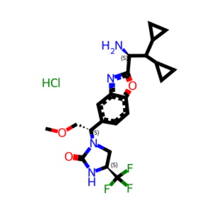 COC[C@H](c1ccc2oc([C@@H](N)C(C3CC3)C3CC3)nc2c1)N1C[C@@H](C(F)(F)F)NC1=O.Cl